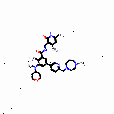 CCN(c1cc(-c2ccc(CN3CCCN(C)CC3)nc2)cc(C(=O)NCc2c(C)cc(C)[nH]c2=O)c1C)C1CCOCC1